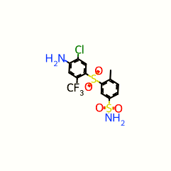 Cc1ccc(S(N)(=O)=O)cc1S(=O)(=O)c1cc(Cl)c(N)cc1C(F)(F)F